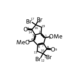 COc1c2c(c(OC)c3c1C(=O)C(Br)(Br)C3)C(=O)C(Br)(Br)C2